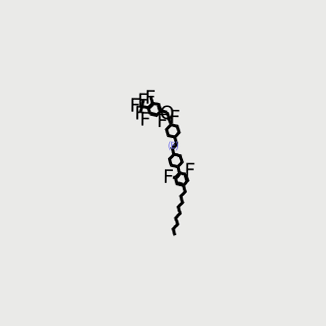 CCCCCCCCCc1cc(F)c(C2CCC(/C=C/C3CCC(C(F)(F)Oc4cc(F)c(C(F)(F)F)c(F)c4)CC3)CC2)c(F)c1